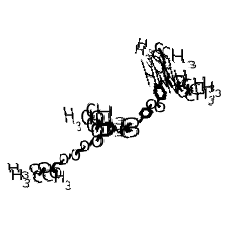 CC(C)(C)OC(=O)CCOCCOCCOCCOCCN(CC(=O)OC(C)(C)C)C(=O)OCc1ccc(OC(=O)c2ccc(NC(=NC(=O)OC(C)(C)C)NC(=O)OC(C)(C)C)cc2)cc1